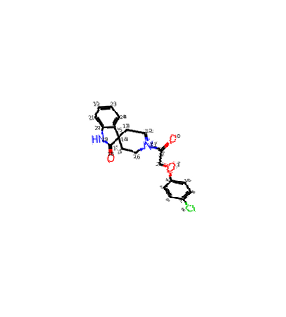 O=C(COc1ccc(Cl)cc1)N1CCC2(CC1)C(=O)Nc1ccccc12